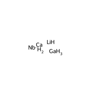 [CaH2].[GaH3].[LiH].[Nb]